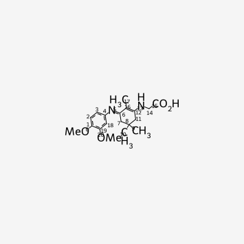 COc1ccc(N=C2CC(C)(C)CC(NCC(=O)O)=C2C)cc1OC